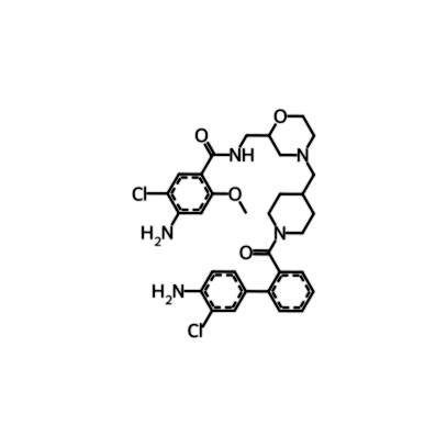 COc1cc(N)c(Cl)cc1C(=O)NCC1CN(CC2CCN(C(=O)c3ccccc3-c3ccc(N)c(Cl)c3)CC2)CCO1